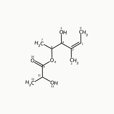 CC=C(C)C(O)C(C)OC(=O)C(C)O